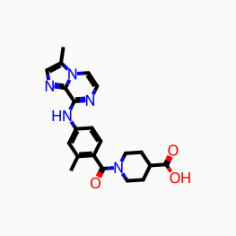 Cc1cc(Nc2nccn3c(C)cnc23)ccc1C(=O)N1CCC(C(=O)O)CC1